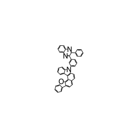 c1ccc(-c2nc3ccccc3nc2-c2cccc(-n3c4ccccc4c4c5c(ccc6c7ccccc7oc65)ccc43)c2)cc1